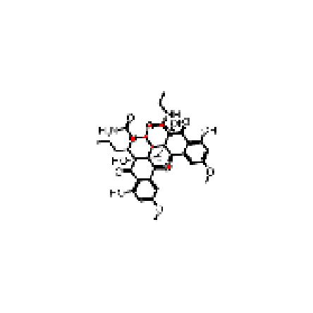 CCC[C@H]1O[C@H](CC(N)=O)C[C@]2(S[C@]34C[C@@H](CC(N)=O)O[C@H](CCC)[C@]3(O)C(=O)c3c(O)cc(OC)cc3C4=O)C(=O)c3cc(OC)cc(O)c3C(=O)[C@@]12O